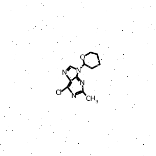 Cc1nc(Cl)c2ncn(C3CCCCO3)c2n1